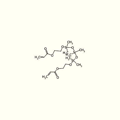 C=CC(=O)OCCO[Si](C)(C)O[Si](C)(C)O[Si](C)(C)OCCOC(=O)C=C